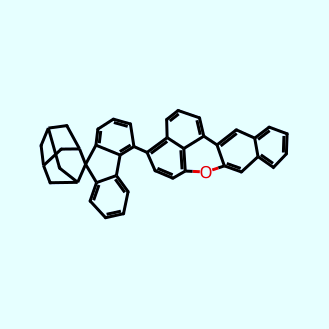 c1ccc2c(c1)-c1c(-c3ccc4c5c(cccc35)-c3cc5ccccc5cc3O4)cccc1C21C2CC3CC(C2)CC1C3